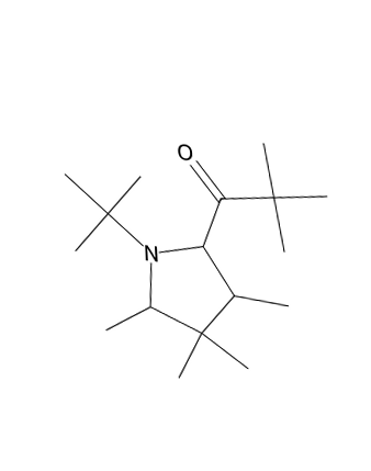 CC1C(C(=O)C(C)(C)C)N(C(C)(C)C)C(C)C1(C)C